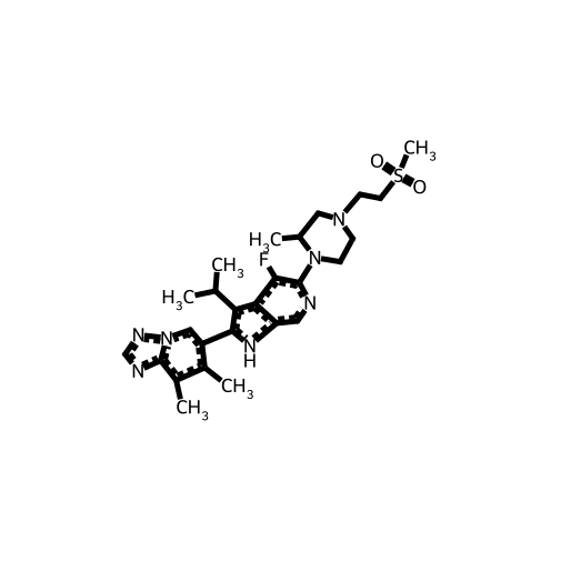 Cc1c(-c2[nH]c3cnc(N4CCN(CCS(C)(=O)=O)CC4C)c(F)c3c2C(C)C)cn2ncnc2c1C